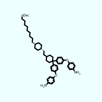 CCCCCCCCCCCCCCCCCCC[C@H]1CC[C@H](CCC2CCC(c3ccc(Oc4ccc(N)cc4)cc3)(c3ccc(Oc4ccc(N)cc4)cc3)CC2)CC1